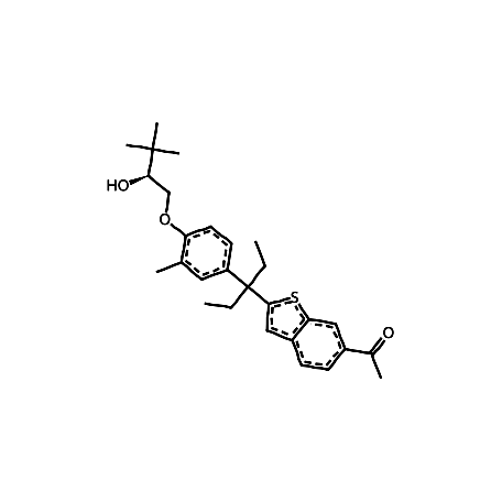 CCC(CC)(c1ccc(OC[C@@H](O)C(C)(C)C)c(C)c1)c1cc2ccc(C(C)=O)cc2s1